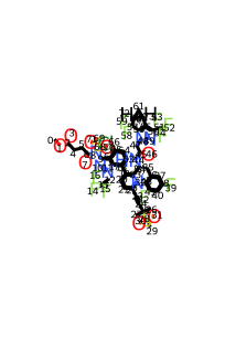 COC(=O)CCC(=O)N(c1nn(CC(F)(F)F)c2c(-c3ccc(C#CC(C)(C)S(C)(=O)=O)nc3[C@H](Cc3cc(F)cc(F)c3)NC(=O)Cn3nc(C(F)(F)F)c4c3C(F)(F)[C@@H]3C[C@H]43)ccc(Cl)c12)S(C)(=O)=O